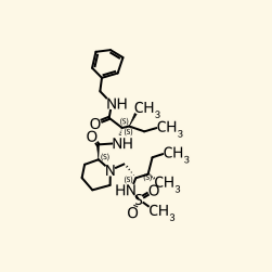 CC[C@H](C)[C@H](NC(=O)[C@@H]1CCCCN1C[C@@H](NS(C)(=O)=O)[C@@H](C)CC)C(=O)NCc1ccccc1